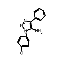 Nc1c(-c2ccccc2)nnn1-c1ccc(Cl)cc1